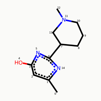 Cc1cc(O)nc(C2CCCN(C)C2)n1